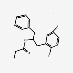 CCC(=O)OC(Cc1ccccc1)Cc1cc(F)ccc1F